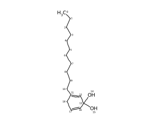 CCCCCCCCCCCC1=CC(O)(O)C=CC1